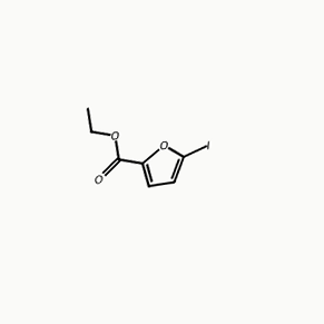 CCOC(=O)c1ccc(I)o1